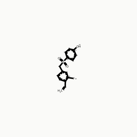 C=Cc1ccc(CS(=O)(=O)c2ccc(O)cc2)cc1F